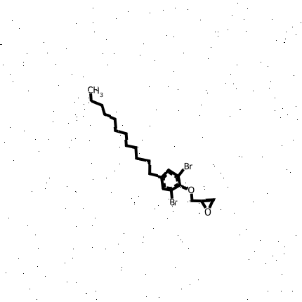 CCCCCCCCCCCCc1cc(Br)c(OCC2CO2)c(Br)c1